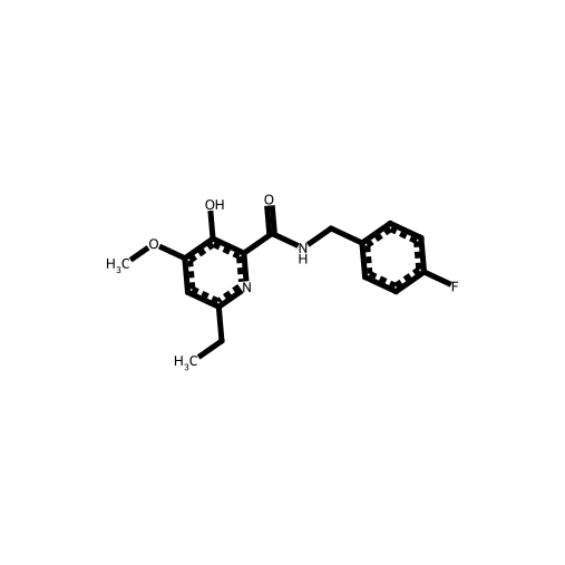 CCc1cc(OC)c(O)c(C(=O)NCc2ccc(F)cc2)n1